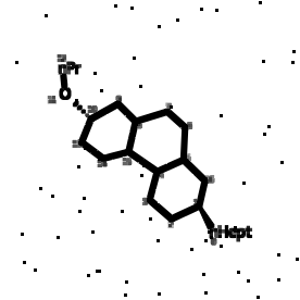 CCCCCCC[C@H]1CCC2C(CCC3C[C@@H](OCCC)CCC32)C1